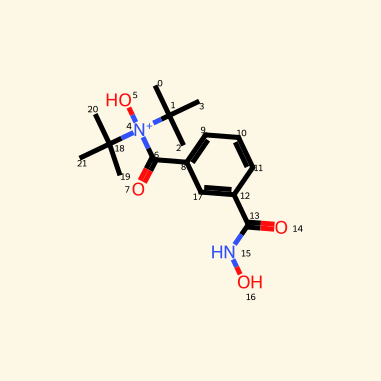 CC(C)(C)[N+](O)(C(=O)c1cccc(C(=O)NO)c1)C(C)(C)C